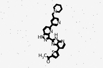 CC(=O)c1ccc(-c2ccnc3[nH]c(-c4n[nH]c5ccc(-c6cncc(CN7CCCCC7)c6)nc45)nc23)s1